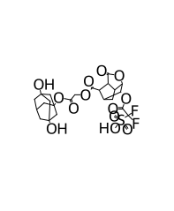 O=C(COC(=O)C1C2CC3C(OC(=O)C31)C2OC(=O)C(F)(F)S(=O)(=O)O)OC12CC3CC(O)(CC(O)(C3)C1)C2